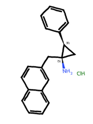 Cl.N[C@]1(Cc2ccc3ccccc3c2)C[C@@H]1c1ccccc1